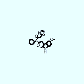 COc1ccc2[nH]c(C)c(CC(=O)N(C(=O)Cc3nccs3)C3CCCCC3)c2c1